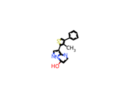 Cc1c(-c2ccccc2)csc1-c1cnn2c(O)ccnc12